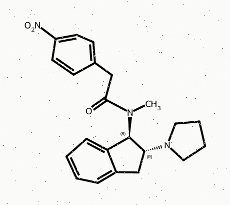 CN(C(=O)Cc1ccc([N+](=O)[O-])cc1)[C@@H]1c2ccccc2C[C@H]1N1CCCC1